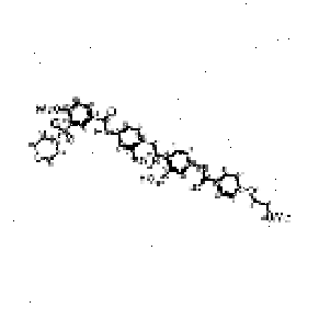 COCCOc1ccc(C(=O)Nc2ccc(C=Cc3ccc(NC(=O)c4ccc(OC)c(S(=O)(=O)N5CCOCC5)c4)cc3S(=O)(=O)O)c(S(=O)(=O)O)c2)cc1